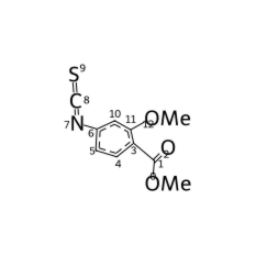 COC(=O)c1ccc(N=C=S)cc1OC